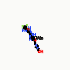 COc1cc2c(Nc3cc(CC(=O)Nc4cc(F)cc(F)c4)[nH]n3)ncnc2cc1OCCCN1CCN(CCO)CC1